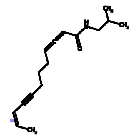 C/C=C\C#CCCCC=C=CC(=O)NCC(C)C